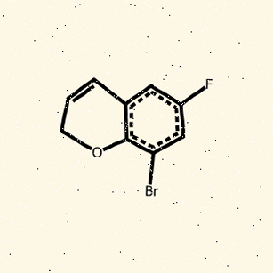 Fc1cc(Br)c2c(c1)C=CCO2